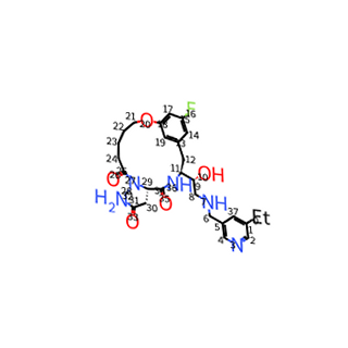 CCc1cncc(CNC[C@@H](O)[C@@H]2Cc3cc(F)cc(c3)OCCCCC(=O)N(C)[C@@H](CC(N)=O)C(=O)N2)c1